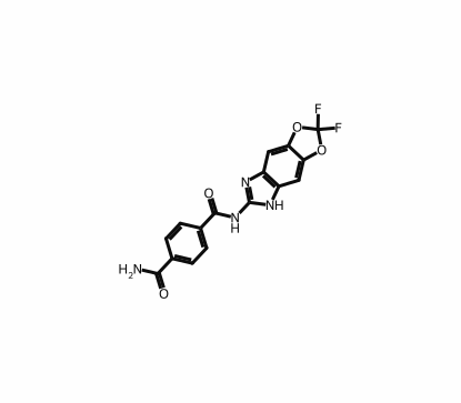 NC(=O)c1ccc(C(=O)Nc2nc3cc4c(cc3[nH]2)OC(F)(F)O4)cc1